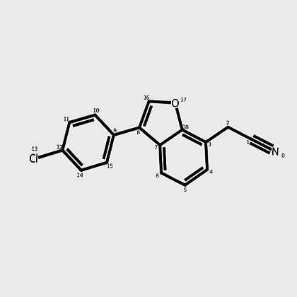 N#CCc1cccc2c(-c3ccc(Cl)cc3)coc12